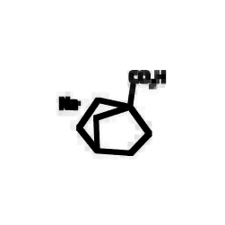 O=C(O)C12CCC(CC1)C2.[Na]